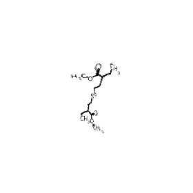 CCC(CCSSCCC(CC)C(=O)OC)C(=O)OC